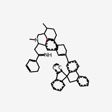 CC1CCC(C2=CC=C(c3ccc4c(c3)C3(Cc5ccccc5-4)c4ccccc4-c4ccccc43)CC2)=CC1CN(C)C(CC(=N)C1=CC=CCC1)c1ccccc1